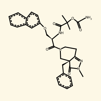 CN1N=C2CCN(C(=O)[C@@H](COc3ccc4ccccc4c3)NC(=O)C(C)(C)OC(N)=O)C[C@@]2(Cc2ccccc2)C1=O